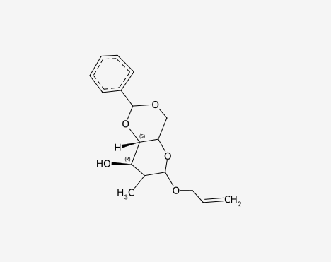 C=CCOC1OC2COC(c3ccccc3)O[C@H]2[C@H](O)C1C